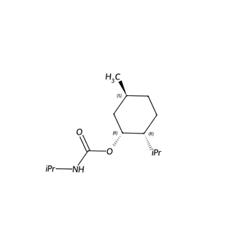 CC(C)NC(=O)O[C@@H]1C[C@@H](C)CC[C@@H]1C(C)C